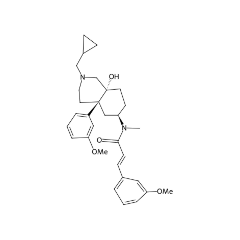 COc1cccc(C=CC(=O)N(C)[C@@H]2CC[C@]3(O)CN(CC4CC4)CC[C@@]3(c3cccc(OC)c3)C2)c1